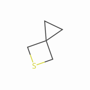 C1CC12CSC2